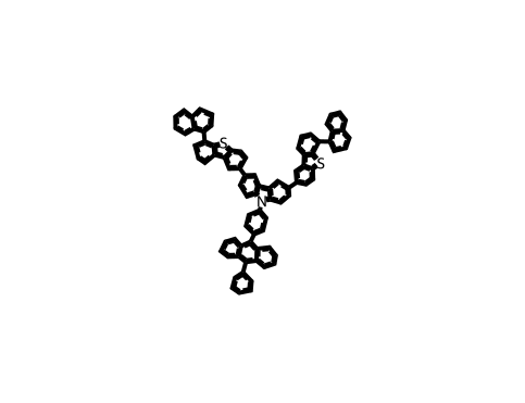 c1ccc(-c2c3ccccc3c(-c3ccc(-n4c5ccc(-c6ccc7sc8c(-c9cccc%10ccccc9%10)cccc8c7c6)cc5c5cc(-c6ccc7sc8c(-c9cccc%10ccccc9%10)cccc8c7c6)ccc54)cc3)c3ccccc23)cc1